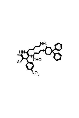 CC(=O)C1=C(C)NC(CCCCN)=C(N(C=O)CCCN2CCC(c3ccccc3)(c3ccccc3)CC2)C1c1ccc([N+](=O)[O-])cc1